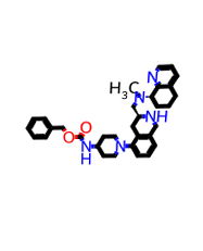 CN(C[C@@H]1Cc2c(cccc2N2CCC(NC(=O)OCc3ccccc3)CC2)CN1)[C@H]1CCCc2cccnc21